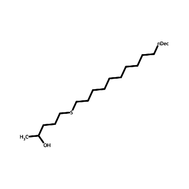 CCCCCCCCCCCCCCCCCCCCSCCCC(C)O